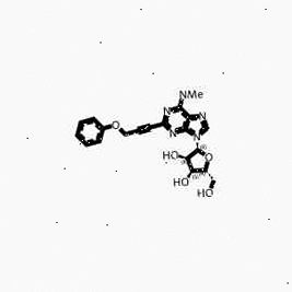 CNc1nc(C#CCOc2ccccc2)nc2c1ncn2[C@@H]1O[C@H](CO)[C@@H](O)[C@H]1O